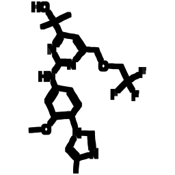 COc1cc(Nc2nc(COCC(F)(F)F)cc(C(C)(C)O)n2)ccc1-n1cnc(C)c1